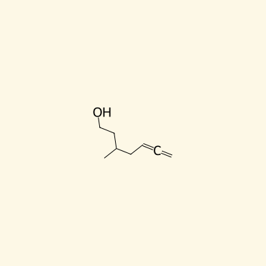 C=C=CCC(C)CCO